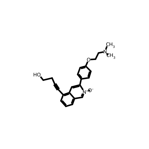 CN(C)CCOc1ccc(-c2cc3c(C#CCCO)cccc3c[n+]2[O-])cc1